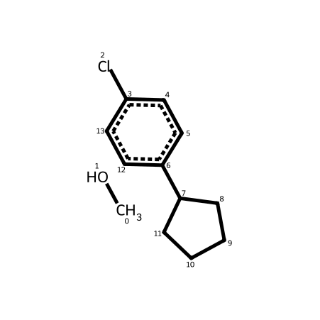 CO.Clc1ccc(C2CCCC2)cc1